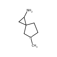 CN1CCC2(CC2N)C1